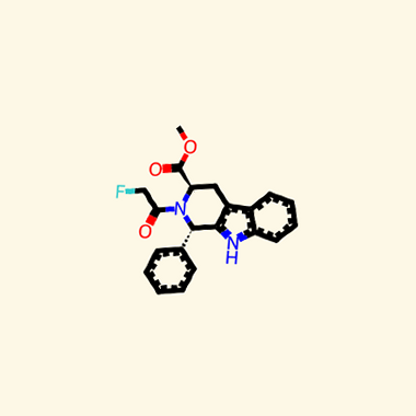 COC(=O)[C@H]1Cc2c([nH]c3ccccc23)[C@H](c2ccccc2)N1C(=O)CF